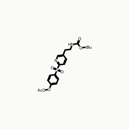 CC(=O)OOc1ccc(S(=O)(=O)c2ccc(CCNC(=O)OC(C)(C)C)cn2)cc1